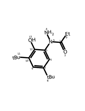 CCC(=O)N(N)c1cc(C(C)(C)C)cc(C(C)(C)C)c1O